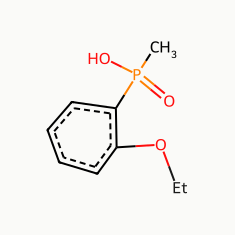 CCOc1ccccc1P(C)(=O)O